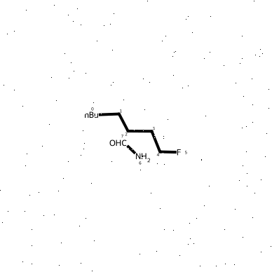 CCCCCCCCF.NC=O